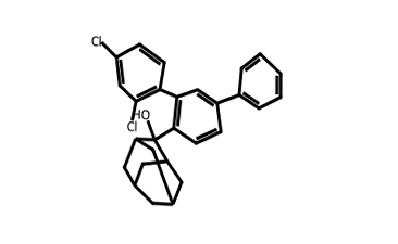 OC1(c2ccc(-c3ccccc3)cc2-c2ccc(Cl)cc2Cl)C2CC3CC(C2)CC1C3